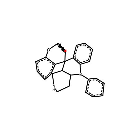 c1ccc(B2c3ccccc3C3(c4ccccc4Oc4ccccc43)C3CNCCC23)cc1